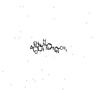 Cc1cn(-c2ccc(Nc3ncc4c(n3)N(C)C3(CC3)CO4)nc2)cn1